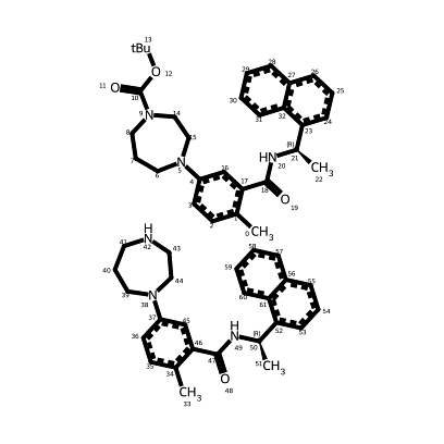 Cc1ccc(N2CCCN(C(=O)OC(C)(C)C)CC2)cc1C(=O)N[C@H](C)c1cccc2ccccc12.Cc1ccc(N2CCCNCC2)cc1C(=O)N[C@H](C)c1cccc2ccccc12